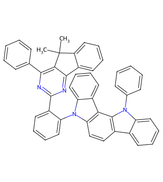 CC1(C)c2ccccc2-c2nc(-c3ccccc3-n3c4ccccc4c4c3ccc3c5ccccc5n(-c5ccccc5)c34)nc(-c3ccccc3)c21